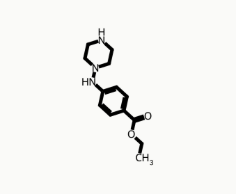 CCOC(=O)c1ccc(NN2CCNCC2)cc1